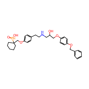 O=[PH](O)C1(COc2ccc(CCNCC(O)COc3ccc(OCc4ccccc4)cc3)cc2)CCCCC1